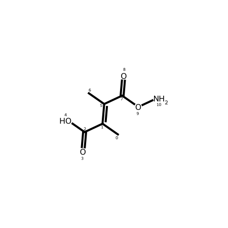 CC(C(=O)O)=C(C)C(=O)ON